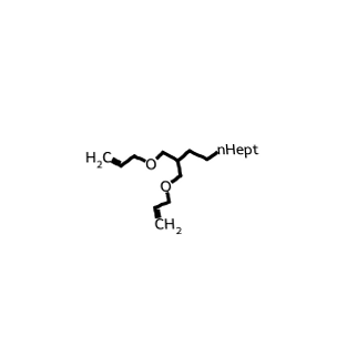 C=CCOCC(CCCCCCCCC)COCC=C